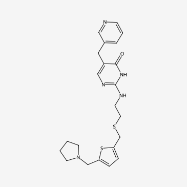 O=c1[nH]c(NCCSCc2ccc(CN3CCCC3)s2)ncc1Cc1cccnc1